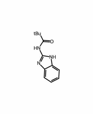 CC(C)(C)C(=O)Nc1nc2ccccc2[nH]1